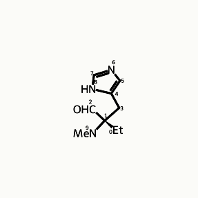 CC[C@@](C=O)(Cc1cnc[nH]1)NC